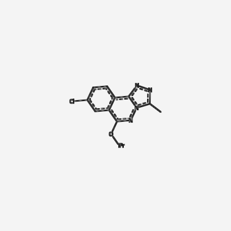 Cc1nnc2c3ccc(Cl)cc3c(OC(C)C)nn12